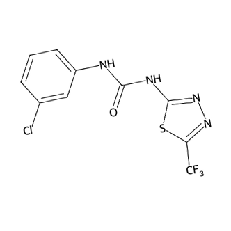 O=C(Nc1cccc(Cl)c1)Nc1nnc(C(F)(F)F)s1